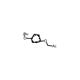 CCC(C)Oc1ccc(OCC(C)=O)cc1